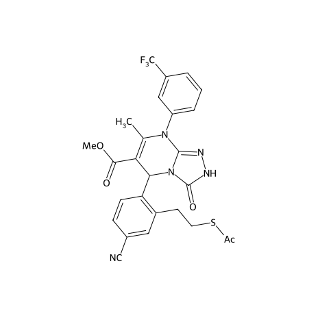 COC(=O)C1=C(C)N(c2cccc(C(F)(F)F)c2)c2n[nH]c(=O)n2C1c1ccc(C#N)cc1CCSC(C)=O